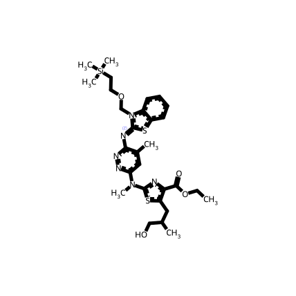 CCOC(=O)c1nc(N(C)c2cc(C)c(/N=c3\sc4ccccc4n3COCC[Si](C)(C)C)nn2)sc1CC(C)CO